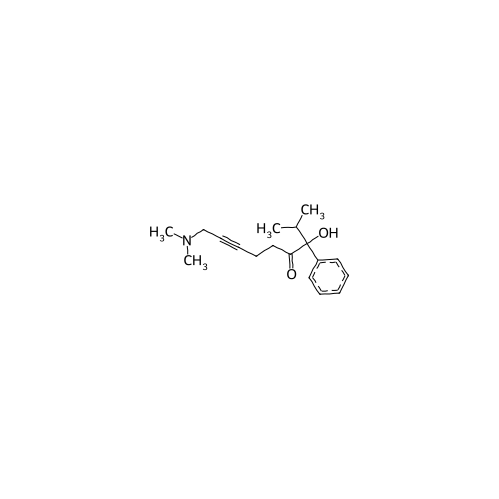 CC(C)C(O)(C(=O)CCC#CCN(C)C)c1ccccc1